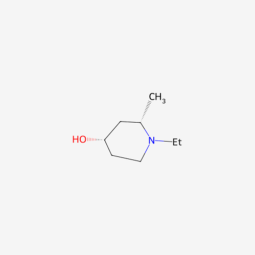 CCN1CC[C@H](O)C[C@@H]1C